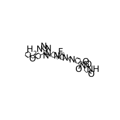 Nc1ncnc2c1c(-c1ccc(Oc3ccccc3)cc1)nn2C1CCN([C@H]2CCN(C3CN(c4ccc5c(c4)C(=O)N(C4CCC(=O)NC4=O)C5=O)C3)C[C@H]2F)CC1